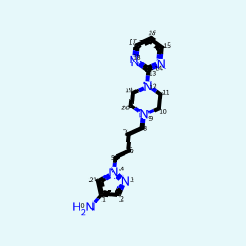 Nc1cnn(CCCCN2CCN(c3ncccn3)CC2)c1